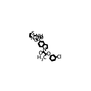 CC(Oc1cccc(Cl)c1)C(=O)N1CCc2cc(S(=O)(=O)Nc3nccs3)ccc21